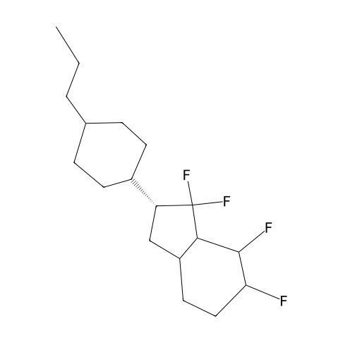 CCCC1CCC([C@H]2CC3CCC(F)C(F)C3C2(F)F)CC1